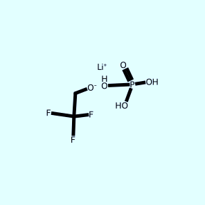 O=P(O)(O)O.[Li+].[O-]CC(F)(F)F